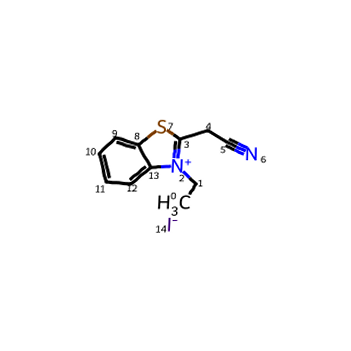 CC[n+]1c(CC#N)sc2ccccc21.[I-]